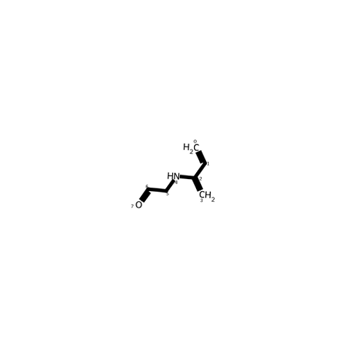 C=CC(=C)NCC=O